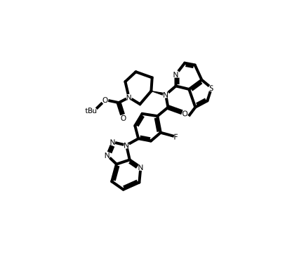 Cc1csc2ccnc(N(C(=O)c3ccc(-n4nnc5cccnc54)cc3F)[C@@H]3CCCN(C(=O)OC(C)(C)C)C3)c12